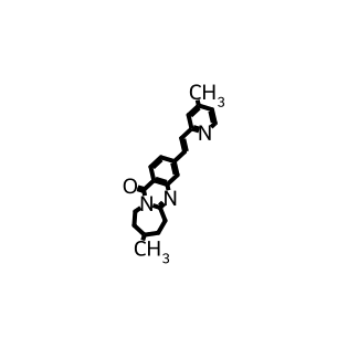 Cc1ccnc(/C=C/c2ccc3c(=O)n4c(nc3c2)CCC(C)CC4)c1